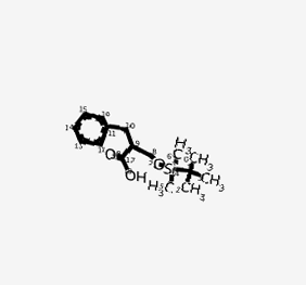 CC(C)(C)[Si](C)(C)OCC(Cc1ccccc1)C(=O)O